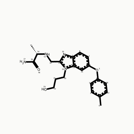 Cc1ccc(Oc2ccc3nc(CN[C@@H](C)C(N)=O)n(CCCO)c3c2)cc1